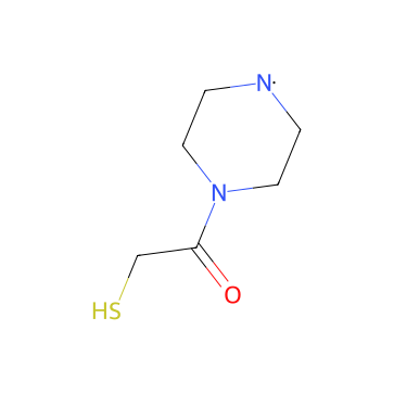 O=C(CS)N1CC[N]CC1